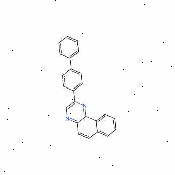 c1ccc(-c2ccc(-c3cnc4ccc5ccccc5c4n3)cc2)cc1